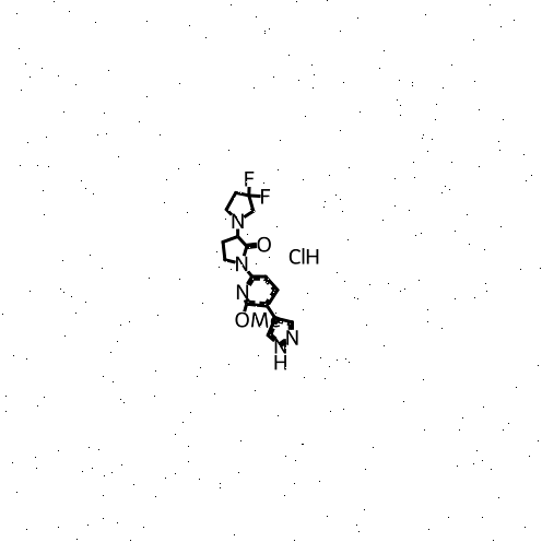 COc1nc(N2CCC(N3CCC(F)(F)C3)C2=O)ccc1-c1cn[nH]c1.Cl